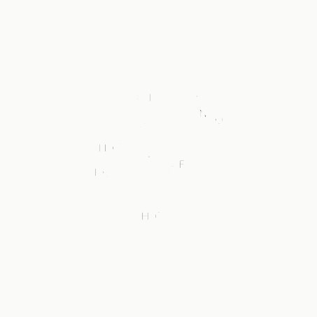 CCOC(=O)C(CC(C)C)(C(=O)OCC)c1cc(F)c([N+](=O)[O-])cc1F